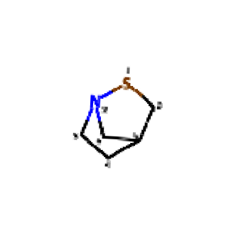 [CH]1SN2CCC1C2